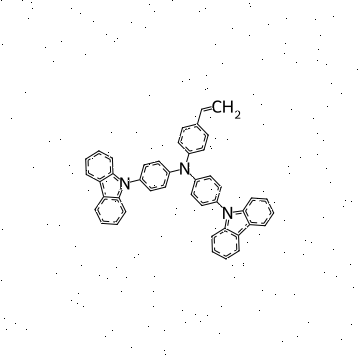 C=Cc1ccc(N(c2ccc(-n3c4ccccc4c4ccccc43)cc2)c2ccc(-n3c4ccccc4c4ccccc43)cc2)cc1